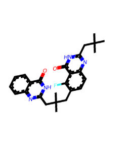 CC(C)(C)Cc1nc2ccc(CC(C)(C)Cc3nc4ccccc4c(=O)[nH]3)c(F)c2c(=O)[nH]1